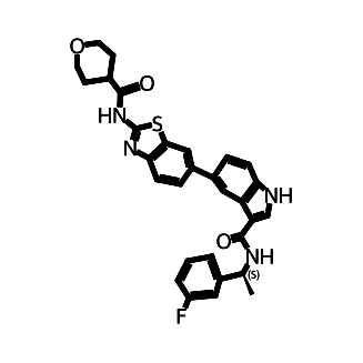 C[C@H](NC(=O)c1c[nH]c2ccc(-c3ccc4nc(NC(=O)C5CCOCC5)sc4c3)cc12)c1cccc(F)c1